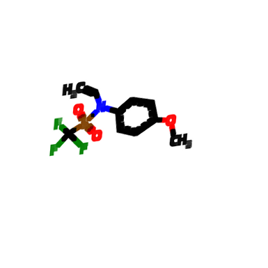 C=CN(c1ccc(OC)cc1)S(=O)(=O)C(F)(F)F